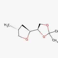 C[C@H]1CO[C@H]([C@H]2COC(C)(C)O2)C1